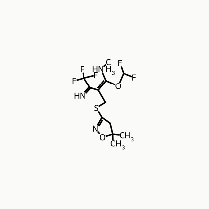 CN/C(OC(F)F)=C(/CSC1=NOC(C)(C)C1)C(=N)C(F)(F)F